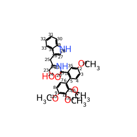 COc1ccc(-c2ccc(OC)c(OC)c2OC)c(C(=O)N[C@@H](CO)Cc2c[nH]c3ccccc23)c1